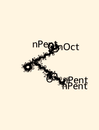 CCCCCCCCC(CCCCC)OC(=O)C(C)(C)CCCCCCN(CCCCCCC(C)(C)C(=O)OCCCC(CCCCC)CCCCC)Cc1ccccc1